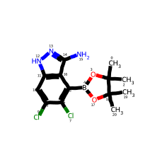 CC1(C)OB(c2c(Cl)c(Cl)cc3[nH]nc(N)c23)OC1(C)C